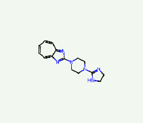 c1ccc2nc(N3CCN(C4=NCCN4)CC3)nc-2cc1